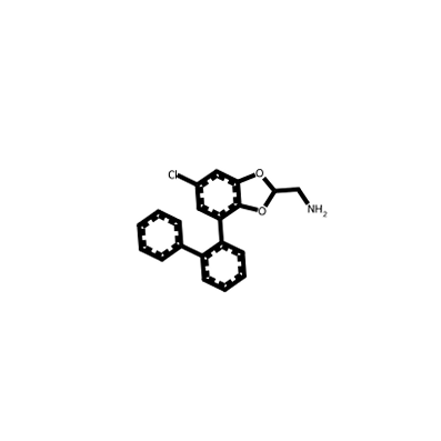 NCC1Oc2cc(Cl)cc(-c3ccccc3-c3ccccc3)c2O1